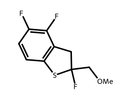 [CH2]OCC1(F)Cc2c(ccc(F)c2F)S1